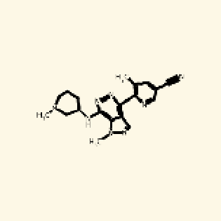 Cc1cc(C#N)cnc1-c1nnc(N[C@@H]2CCCN(C)C2)c2c1cnn2C